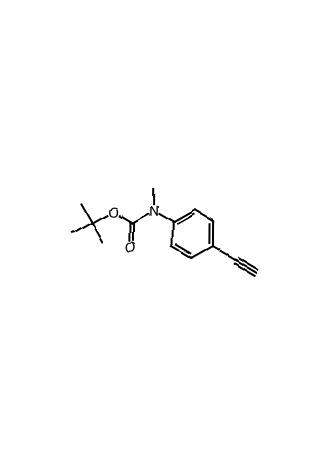 C#Cc1ccc(N(C)C(=O)OC(C)(C)C)cc1